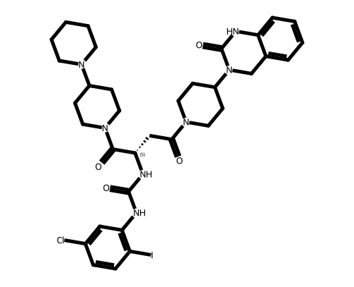 O=C(Nc1cc(Cl)ccc1I)N[C@@H](CC(=O)N1CCC(N2Cc3ccccc3NC2=O)CC1)C(=O)N1CCC(N2CCCCC2)CC1